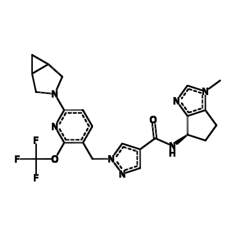 Cn1cnc2c1CC[C@H]2NC(=O)c1cnn(Cc2ccc(N3CC4CC4C3)nc2OC(F)(F)F)c1